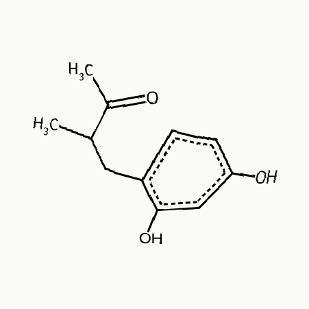 CC(=O)C(C)Cc1ccc(O)cc1O